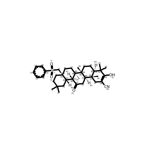 CC1(C)CC[C@]2(CS(=O)(=O)c3ccccc3)CC[C@]3(C)[C@H](C(=O)C[C@@H]4[C@@]5(C)CC(C#N)=C(O)C(C)(C)[C@@H]5CC[C@]43C)[C@@H]2C1